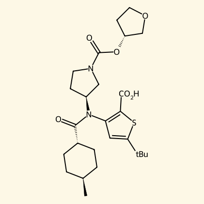 CC(C)(C)c1cc(N(C(=O)[C@H]2CC[C@H](C)CC2)[C@H]2CCN(C(=O)O[C@@H]3CCOC3)C2)c(C(=O)O)s1